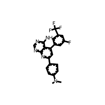 CN(C)c1ccc(-c2cc(-c3cc(F)cc(C(F)(F)F)c3)c3c(N)ncnc3n2)cc1